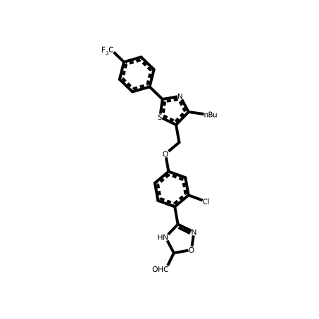 CCCCc1nc(-c2ccc(C(F)(F)F)cc2)sc1COc1ccc(C2=NOC(C=O)N2)c(Cl)c1